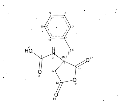 O=C(O)N[C@]1(Cc2ccccc2)CC(=O)OC1=O